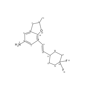 CC1Cc2cc(N)cc(/C=C/C3CCC(F)(F)CC3)c2O1